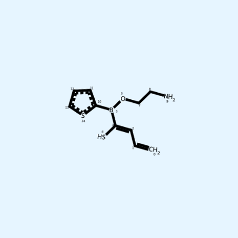 C=C/C=C(\S)B(OCCN)c1cccs1